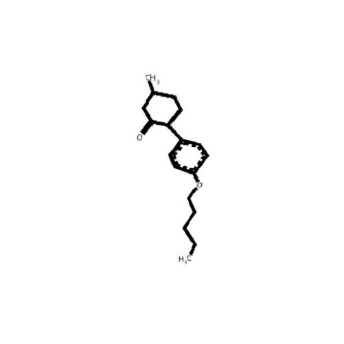 CCCCCOc1ccc(C2CCC(C)CC2=O)cc1